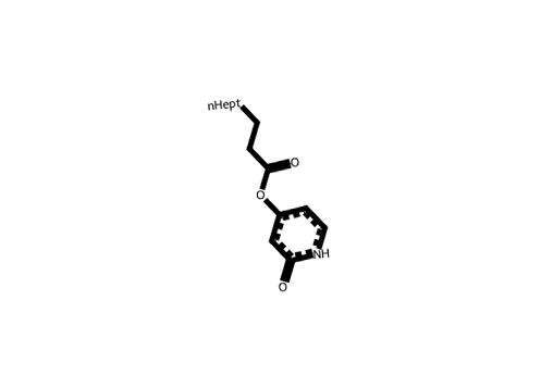 CCCCCCCCCC(=O)Oc1cc[nH]c(=O)c1